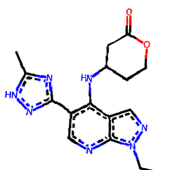 CCn1ncc2c(NC3CCOC(=O)C3)c(-c3n[nH]c(C)n3)cnc21